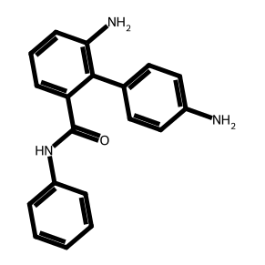 Nc1ccc(-c2c(N)cccc2C(=O)Nc2ccccc2)cc1